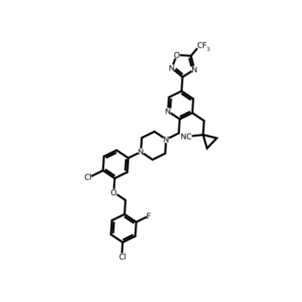 N#CC1(Cc2cc(-c3noc(C(F)(F)F)n3)cnc2CN2CCN(c3ccc(Cl)c(OCc4ccc(Cl)cc4F)c3)CC2)CC1